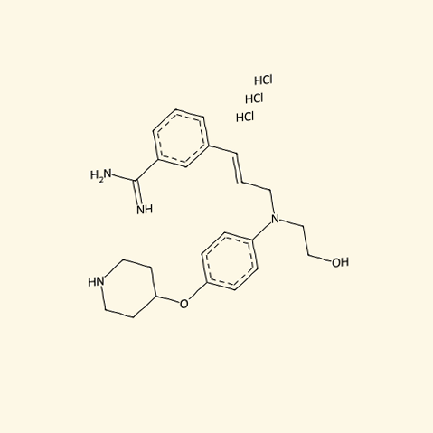 Cl.Cl.Cl.N=C(N)c1cccc(C=CCN(CCO)c2ccc(OC3CCNCC3)cc2)c1